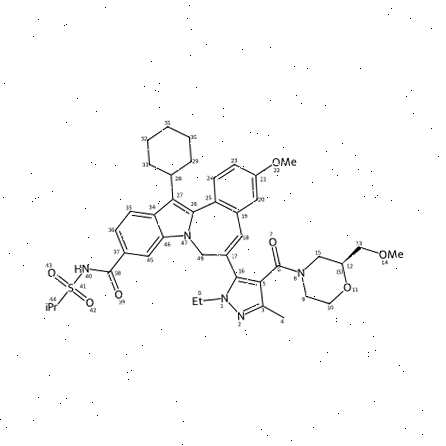 CCn1nc(C)c(C(=O)N2CCO[C@H](COC)C2)c1C1=Cc2cc(OC)ccc2-c2c(C3CCCCC3)c3ccc(C(=O)NS(=O)(=O)C(C)C)cc3n2C1